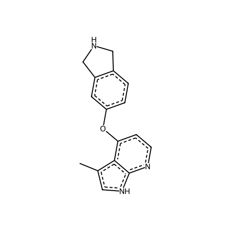 Cc1c[nH]c2nccc(Oc3ccc4c(c3)CNC4)c12